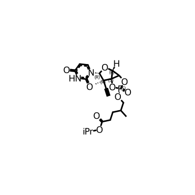 C#C[C@@]1(C)[C@H](n2ccc(=O)[nH]c2=O)O[C@@H]2C3O[P@](=O)(OCC(C)CCC(=O)OC(C)C)O[C@]321